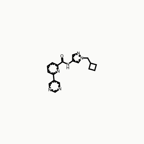 O=C(Nc1cnn(CC2CCC2)c1)c1cccc(-c2cncnc2)n1